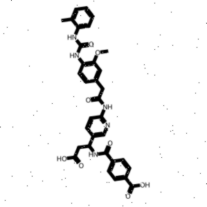 COc1cc(CC(=O)Nc2ccc(C(CC(=O)O)NC(=O)c3ccc(C(=O)O)cc3)cn2)ccc1NC(=O)Nc1ccccc1C